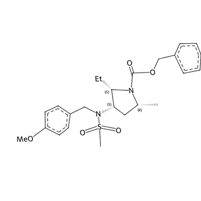 CC[C@H]1[C@@H](N(Cc2ccc(OC)cc2)S(C)(=O)=O)C[C@@H](C)N1C(=O)OCc1ccccc1